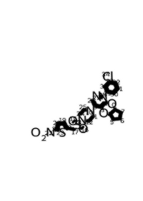 O=c1c(OC2CCCC2)c(N2CCN(S(=O)(=O)Cc3ccc([N+](=O)[O-])s3)CC2)cnn1-c1cccc(Cl)c1